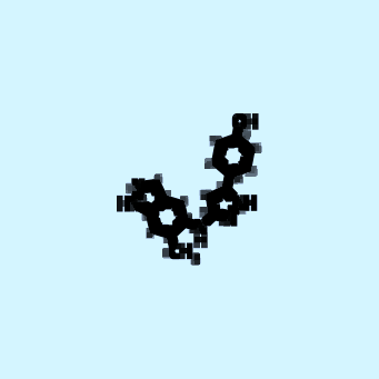 Cc1cc2[nH]ncc2cc1Nc1cc(-c2ccc(O)cc2)[nH]n1